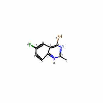 Cc1nc(S)c2cc(F)ccc2n1